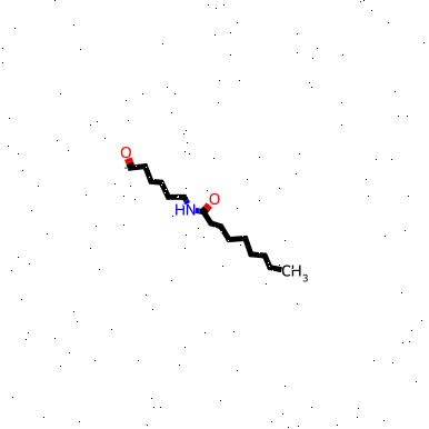 CCCCCCCCC(=O)NCCCCC[C]=O